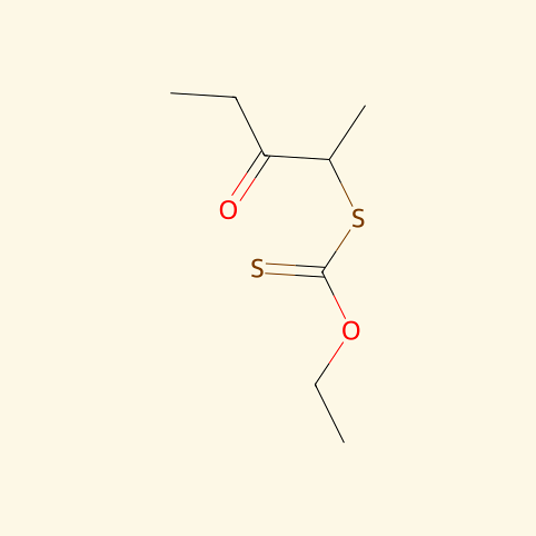 CCOC(=S)SC(C)C(=O)CC